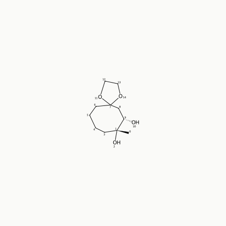 C[C@@]1(O)CCCCC2(C[C@@H]1O)OCCO2